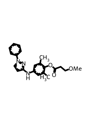 COCCC(=O)Oc1c(C)cc(Nc2ccn(-c3ccccc3)n2)cc1C